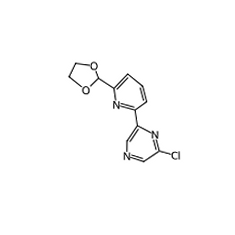 Clc1cncc(-c2cccc(C3OCCO3)n2)n1